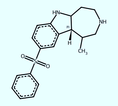 CC1CNCCC2Nc3ccc(S(=O)(=O)c4ccccc4)cc3[C@@H]12